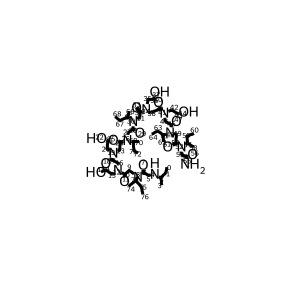 CCC(C)NCC(=O)N(CC(=O)N(CCO)CC(=O)N(CCO)CC(=O)N(CC(=O)N(CC(=O)N(CCO)CC(=O)N(CCO)CC(=O)N(CC(=O)N(CC(N)=O)C(C)CC)C(C)CC)C(C)CC)C(C)CC)C(C)CC